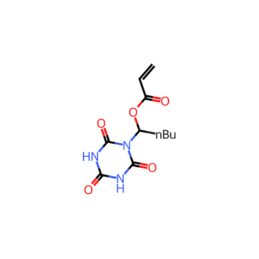 C=CC(=O)OC(CCCC)n1c(=O)[nH]c(=O)[nH]c1=O